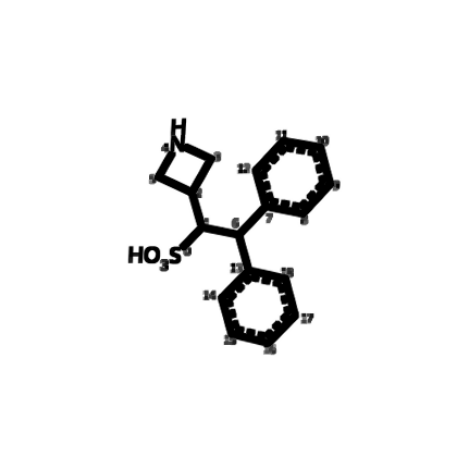 O=S(=O)(O)C(C1CNC1)C(c1ccccc1)c1ccccc1